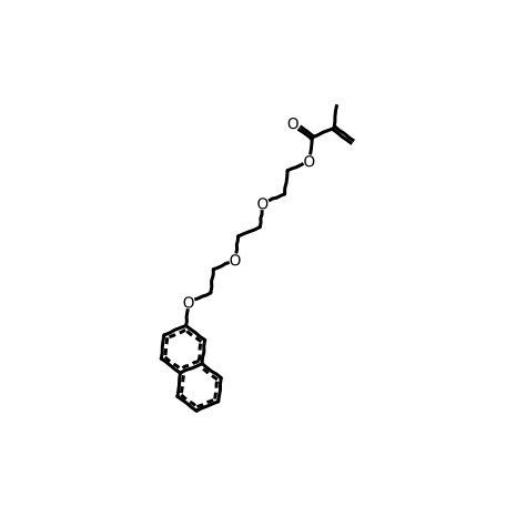 C=C(C)C(=O)OCCOCCOCCOc1ccc2ccccc2c1